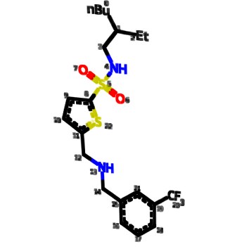 CCCCC(CC)CNS(=O)(=O)c1ccc(CNCc2cccc(C(F)(F)F)c2)s1